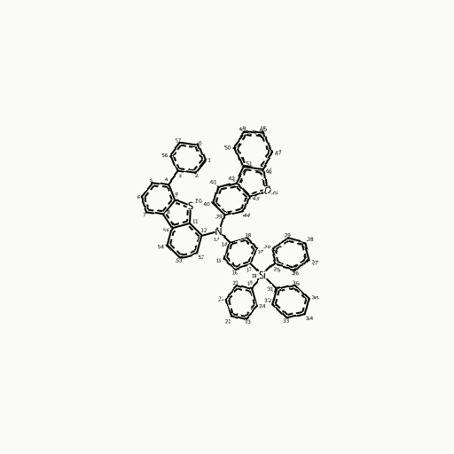 c1ccc(-c2cccc3c2sc2c(N(c4ccc([Si](c5ccccc5)(c5ccccc5)c5ccccc5)cc4)c4ccc5c(c4)oc4ccccc45)cccc23)cc1